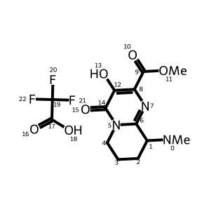 CNC1CCCn2c1nc(C(=O)OC)c(O)c2=O.O=C(O)C(F)(F)F